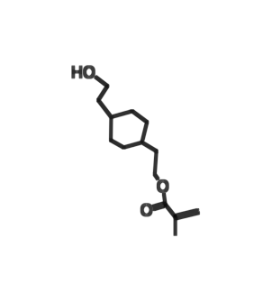 C=C(C)C(=O)OCCC1CCC(CCO)CC1